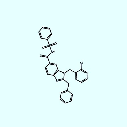 O=C(NS(=O)(=O)c1ccccc1)c1ccc2nc(Cc3ccccc3)n(Cc3ccccc3Cl)c2c1